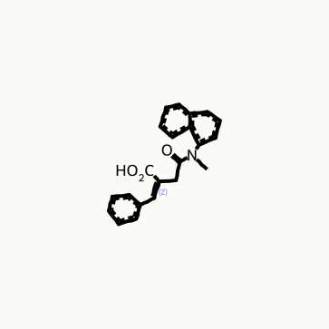 CN(C(=O)C/C(=C/c1ccccc1)C(=O)O)c1cccc2ccccc12